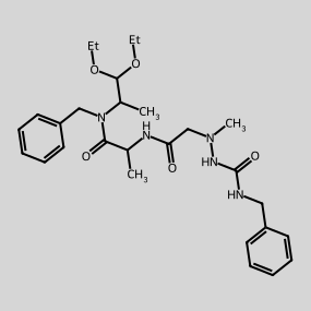 CCOC(OCC)C(C)N(Cc1ccccc1)C(=O)C(C)NC(=O)CN(C)NC(=O)NCc1ccccc1